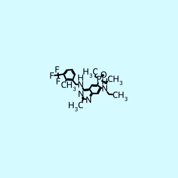 CCNc1cc2nc(C)nc(NCc3cccc(C(F)(F)F)c3C)c2cc1P(=O)(CC)CC